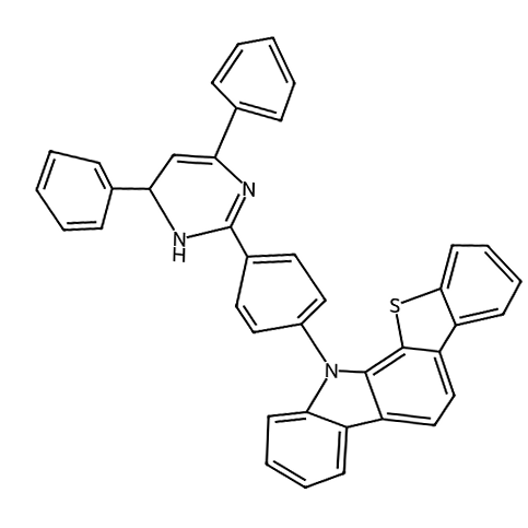 C1=C(c2ccccc2)N=C(c2ccc(-n3c4ccccc4c4ccc5c6ccccc6sc5c43)cc2)NC1c1ccccc1